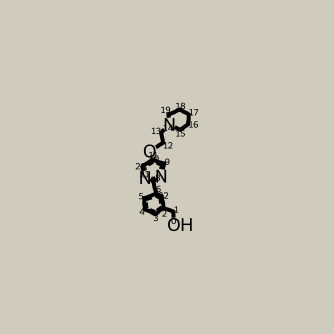 OCc1cccc(-c2ncc(OCCN3CCCCC3)cn2)c1